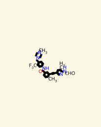 Cc1ccc(C(=O)Nc2ccc(CN3CCN(C)CC3)c(C(F)(F)F)c2)cc1C#Cc1cnc(NC=O)c(C)c1